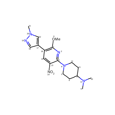 COc1nc(N2CCC(N(C)C)CC2)c([N+](=O)[O-])cc1-c1cnn(C)c1